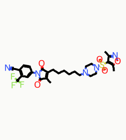 CC1=C(CCCCCCN2CCN(S(=O)(=O)c3c(C)noc3C)CC2)C(=O)N(c2ccc(C#N)c(C(F)(F)F)c2)C1=O